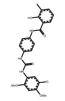 COc1cc(OC)c(NC(=S)Nc2ccc(NC(=O)c3cccc(C)c3O)cc2)cc1Cl